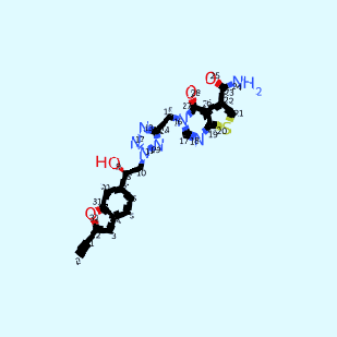 C#Cc1cc2ccc([C@@H](O)Cn3nnc(Cn4cnc5scc(C(N)=O)c5c4=O)n3)cc2o1